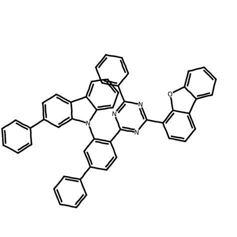 c1ccc(-c2ccc(-c3nc(-c4ccccc4)nc(-c4cccc5c4oc4ccccc45)n3)c(-n3c4ccccc4c4ccc(-c5ccccc5)cc43)c2)cc1